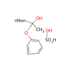 CCCCCCCCCC(C)(O)Oc1ccccc1.O=S(=O)(O)O